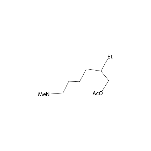 CCC(CCCCNC)COC(C)=O